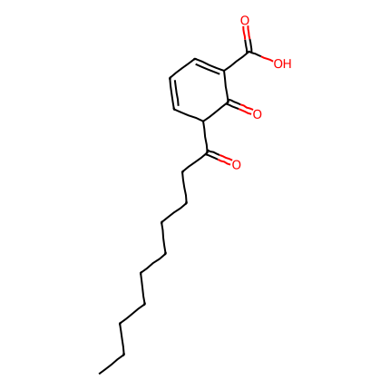 CCCCCCCCCC(=O)C1C=CC=C(C(=O)O)C1=O